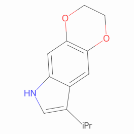 CC(C)c1c[nH]c2cc3c(cc12)OCCO3